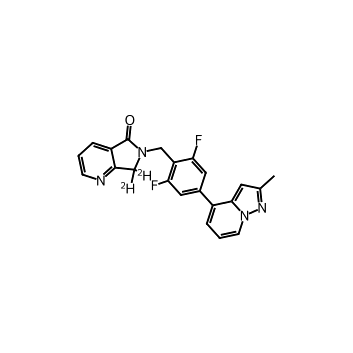 [2H]C1([2H])c2ncccc2C(=O)N1Cc1c(F)cc(-c2cccn3nc(C)cc23)cc1F